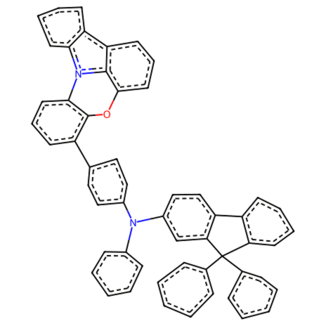 c1ccc(N(c2ccc(-c3cccc4c3Oc3cccc5c6ccccc6n-4c35)cc2)c2ccc3c(c2)C(c2ccccc2)(c2ccccc2)c2ccccc2-3)cc1